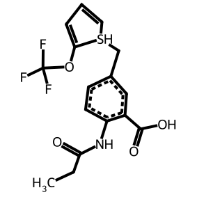 CCC(=O)Nc1ccc(C[SH]2C=CC=C2OC(F)(F)F)cc1C(=O)O